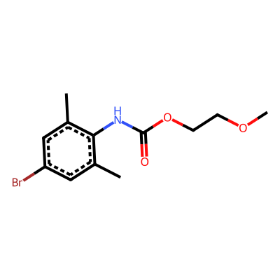 COCCOC(=O)Nc1c(C)cc(Br)cc1C